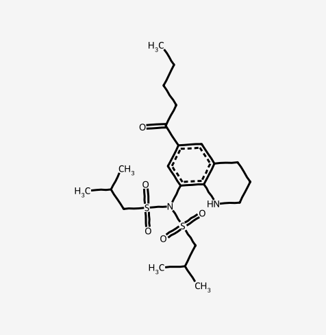 CCCCC(=O)c1cc2c(c(N(S(=O)(=O)CC(C)C)S(=O)(=O)CC(C)C)c1)NCCC2